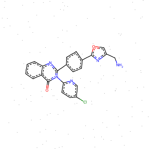 NCc1coc(-c2ccc(-c3nc4ccccc4c(=O)n3-c3ccc(Cl)cn3)cc2)n1